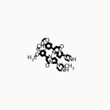 COc1ccc(-c2cc(=O)n3cc(N4CCN[C@@H](C)C4)ccc3n2)cc1OC.O=c1cc(-c2ccc3c(c2)OCCO3)nc2ccc(N3CCNCC3)cn12